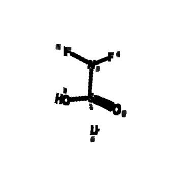 O=S(O)N(F)F.[Li]